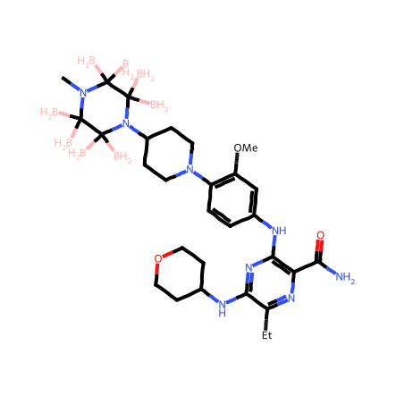 BC1(B)N(C)C(B)(B)C(B)(B)N(C2CCN(c3ccc(Nc4nc(NC5CCOCC5)c(CC)nc4C(N)=O)cc3OC)CC2)C1(B)B